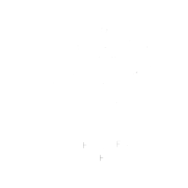 O=C(/C(C#Cc1ccc(C(F)(F)F)cc1)=C/c1ccccc1)c1ccccc1